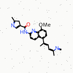 C=N/C(C)=C\C=C(/C)c1ccc(OC)c2nc(NC(=O)C3=CN=C(C)C3)ccc12